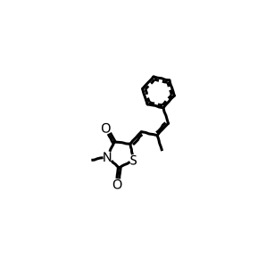 CC(=Cc1ccccc1)C=C1SC(=O)N(C)C1=O